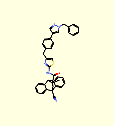 CC1(C(=O)Nc2nc(Cc3ccc(-c4cnn(Cc5ccccc5)c4)cc3)cs2)CC2(C#N)c3ccccc3C1c1ccccc12